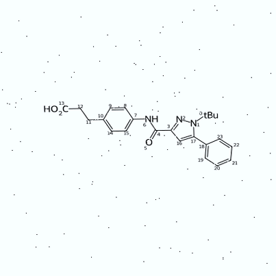 CC(C)(C)n1nc(C(=O)Nc2ccc(CCC(=O)O)cc2)cc1-c1ccccc1